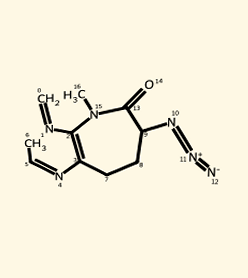 C=NC1=C(/N=C\C)CCC(N=[N+]=[N-])C(=O)N1C